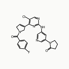 O=C(c1ccc(F)cc1)N1CC=C(c2nc(Nc3cncc(N4CCCC4=O)c3)ncc2Cl)C1